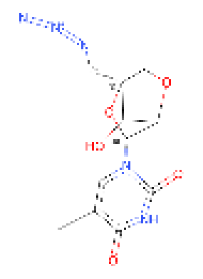 Cc1cn([C@@H]2O[C@@]3(CN=[N+]=[N-])COC2C3O)c(=O)[nH]c1=O